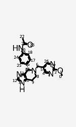 COc1ncc(CN2CCc3[nH]cnc3[C@@H]2c2ccc(NC(C)=O)cc2)cn1